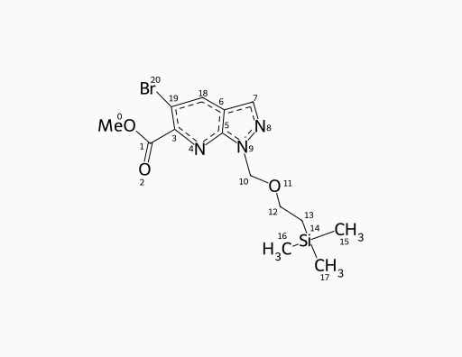 COC(=O)c1nc2c(cnn2COCC[Si](C)(C)C)cc1Br